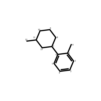 Cc1c[c]ccc1C1CCCC(C)C1